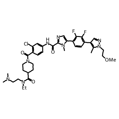 CCN(CCN(C)C)C(=O)C1CCN(C(=O)c2ccc(NC(=O)c3ncc(-c4ccc(-c5cnn(CCOC)c5C)c(F)c4F)n3C)cc2Cl)CC1